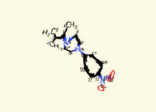 CC(C)C(C)N1CCN(c2ccc([N+](=O)[O-])cc2)CC1